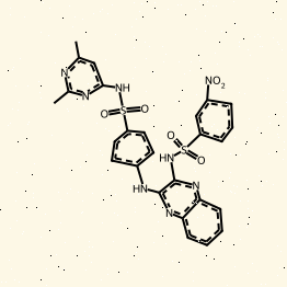 Cc1cc(NS(=O)(=O)c2ccc(Nc3nc4ccccc4nc3NS(=O)(=O)c3cccc([N+](=O)[O-])c3)cc2)nc(C)n1